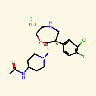 CC(=O)NC1CCN(C[C@@H]2OCCNC[C@H]2c2ccc(Cl)c(Cl)c2)CC1.Cl.Cl